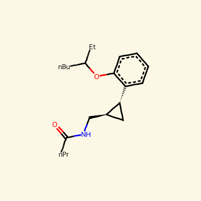 CCCCC(CC)Oc1ccccc1[C@@H]1C[C@H]1CNC(=O)CCC